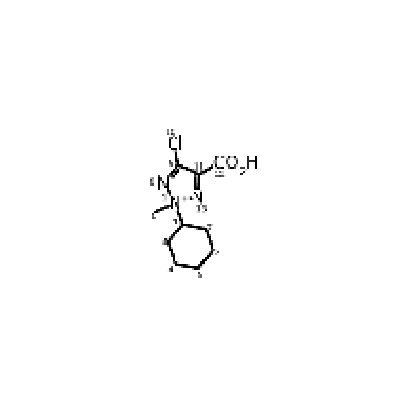 C[N+]1(C2CCCCC2)N=C(Cl)C(C(=O)O)=N1